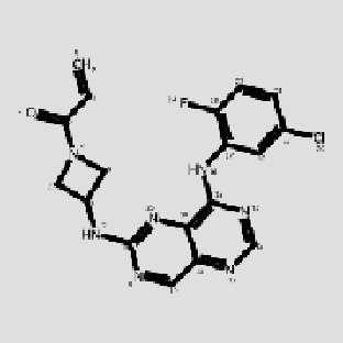 C=CC(=O)N1CC(Nc2ncc3ncnc(Nc4cc(Cl)ccc4F)c3n2)C1